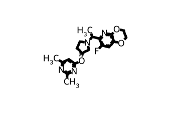 Cc1cc(O[C@@H]2CCN(C(C)c3nc4c(cc3F)OCCO4)C2)nc(C)n1